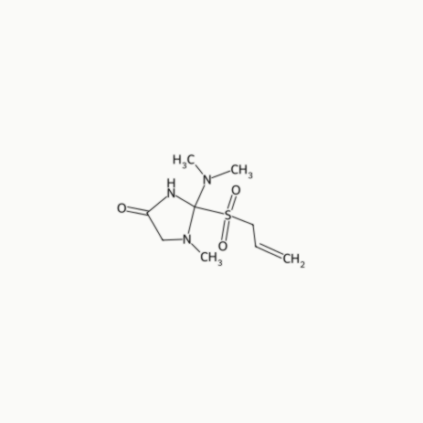 C=CCS(=O)(=O)C1(N(C)C)NC(=O)CN1C